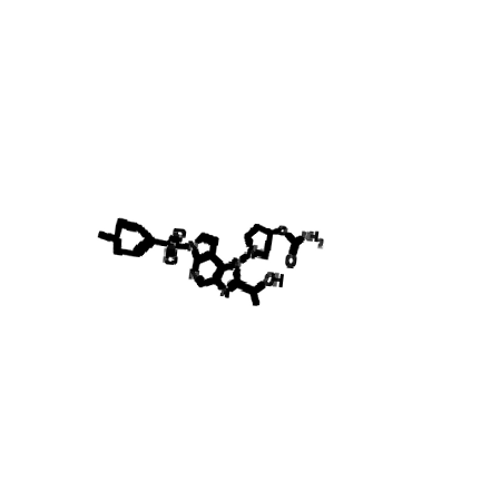 Cc1ccc(S(=O)(=O)n2ccc3c2ncc2nc(C(C)O)n(N4CC[C@@H](OC(N)=O)C4)c23)cc1